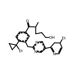 CCC1C=CN=C(c2cnc(Cc3cc(C(=O)C(C)CCCO)ccc3C3(CC)CC3)nc2)C1